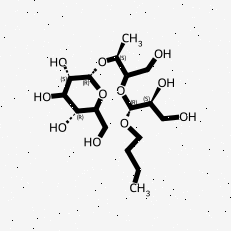 CCCCO[C@H](OC(CO)[C@H](C)O[C@@H]1OC(CO)[C@H](O)C(O)[C@@H]1O)[C@@H](O)CO